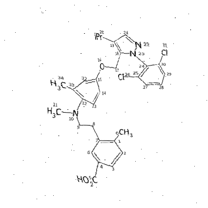 Cc1ccc(C(=O)O)cc1CCN(C)c1ccc(OCc2c(C(C)C)cnn2-c2c(Cl)cccc2Cl)cc1C